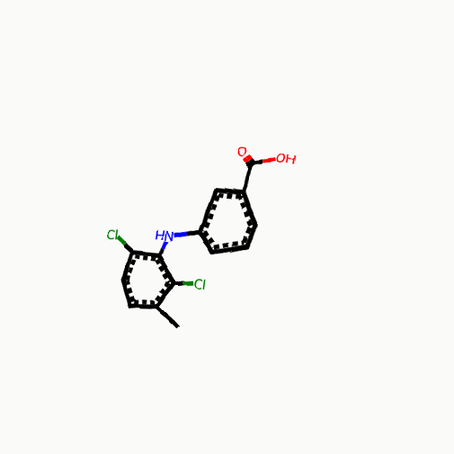 Cc1ccc(Cl)c(Nc2cccc(C(=O)O)c2)c1Cl